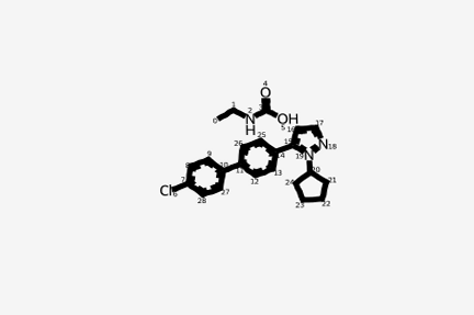 CCNC(=O)O.Clc1ccc(-c2ccc(-c3ccnn3C3CCCC3)cc2)cc1